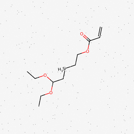 C=CC(=O)OCC[SiH2]CC(OCC)OCC